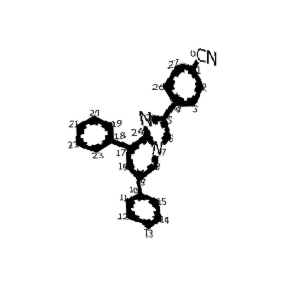 N#Cc1ccc(-c2cn3cc(-c4ccccc4)cc(-c4ccccc4)c3n2)cc1